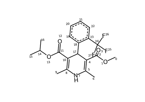 COC(=O)C1=C(C)NC(C)=C(C(=O)OC(C)C)C1c1ccccc1C(F)(F)F